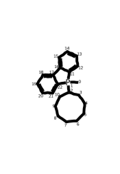 C[P]1(C2CCCCCCCC2)c2ccccc2-c2ccccc21